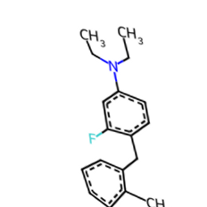 CCN(CC)c1ccc(Cc2ccccc2C)c(F)c1